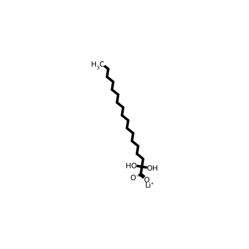 CCCCCCCCCCCCCCCCC(O)(O)C(=O)[O-].[Li+]